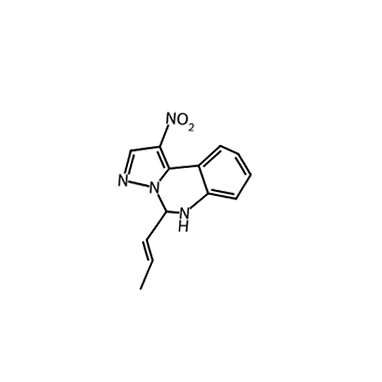 CC=CC1Nc2ccccc2-c2c([N+](=O)[O-])cnn21